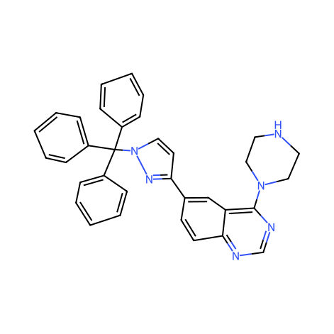 c1ccc(C(c2ccccc2)(c2ccccc2)n2ccc(-c3ccc4ncnc(N5CCNCC5)c4c3)n2)cc1